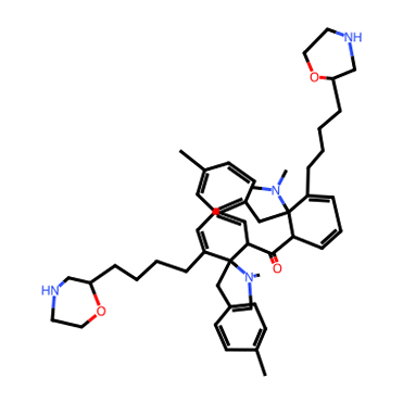 Cc1ccc(CC2(N(C)C)C(CCCCC3CNCCO3)=CC=CC2C(=O)C2C=CC=C(CCCCC3CNCCO3)C2(Cc2ccc(C)cc2)N(C)C)cc1